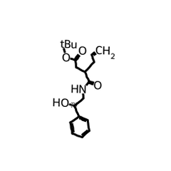 C=CCC(CC(=O)OC(C)(C)C)C(=O)NC[C@H](O)c1ccccc1